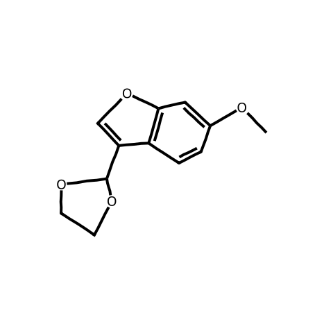 COc1ccc2c(C3OCCO3)coc2c1